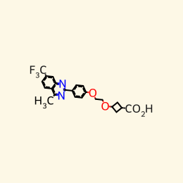 Cc1nc(-c2ccc(OCCOC3CC(C(=O)O)C3)cc2)nc2cc(C(F)(F)F)ccc12